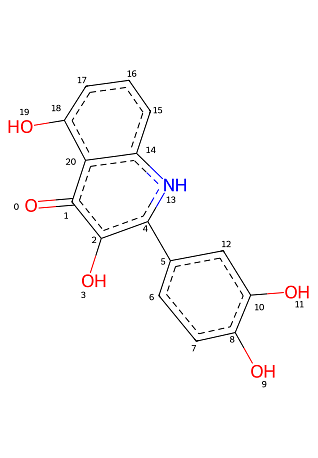 O=c1c(O)c(-c2ccc(O)c(O)c2)[nH]c2cccc(O)c12